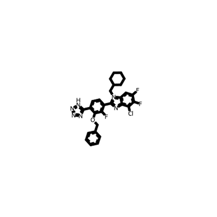 Fc1cc2c(nc(-c3ccc(-c4nnn[nH]4)c(OCc4ccccc4)c3F)n2CC2CCCCC2)c(Cl)c1F